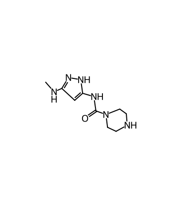 CNc1cc(NC(=O)N2CCNCC2)[nH]n1